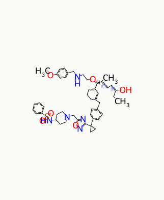 CC/C(O)=C\C=C(/C)[C@H](OCCNCc1ccc(OC)cc1)C1=CCCC(Cc2ccc(C3(c4noc(CN5CCC(NS(=O)(=O)c6ccccc6)CC5)n4)CC3)cc2)=C1